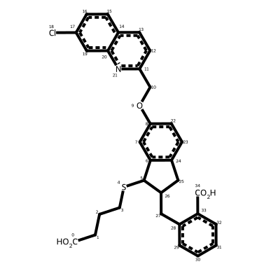 O=C(O)CCCSC1c2cc(OCc3ccc4ccc(Cl)cc4n3)ccc2CC1Cc1ccccc1C(=O)O